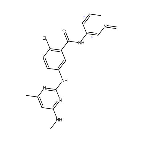 C=N/C=C(\C=C/C)NC(=O)c1cc(Nc2nc(C)cc(NC)n2)ccc1Cl